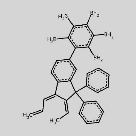 Bc1c(B)c(B)c(-c2ccc3c(c2)C(c2ccccc2)(c2ccccc2)C(=C/C)/C3=C\C=C)c(B)c1B